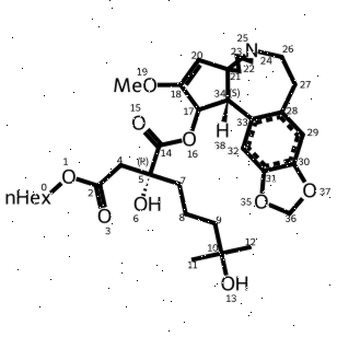 CCCCCCOC(=O)C[C@](O)(CCCC(C)(C)O)C(=O)OC1C(OC)=CC23CCCN2CCc2cc4c(cc2[C@H]13)OCO4